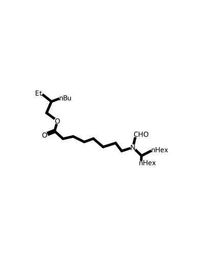 CCCCCCC(CCCCCC)N(C=O)CCCCCCCC(=O)OCC(CC)CCCC